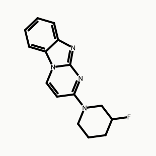 FC1CCCN(c2ccn3c(n2)nc2ccccc23)C1